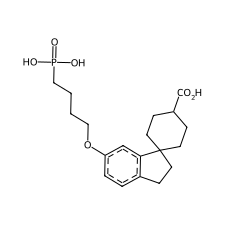 O=C(O)C1CCC2(CCc3ccc(OCCCCP(=O)(O)O)cc32)CC1